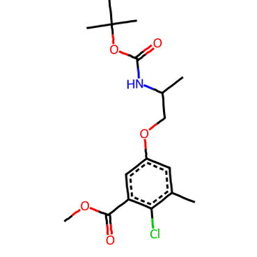 COC(=O)c1cc(OCC(C)NC(=O)OC(C)(C)C)cc(C)c1Cl